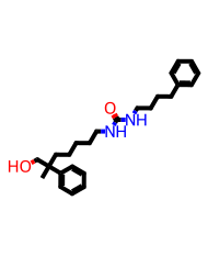 CC(CO)(CCCCCNC(=O)NCCCCc1ccccc1)c1ccccc1